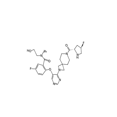 CC(C)N(CCO)C(=O)c1cc(F)ccc1Oc1cncnc1N1CC2(CCN(C(=O)[C@@H]3C[C@@H](F)CN3)CC2)C1